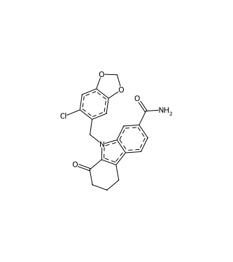 NC(=O)c1ccc2c3c(n(Cc4cc5c(cc4Cl)OCO5)c2c1)C(=O)CCC3